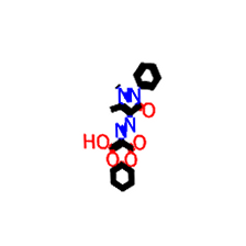 Cc1c(/N=N/C2=C(O)OC3(CCCCC3)OC2=O)c(=O)n(-c2ccccc2)n1C